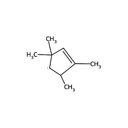 CC1=CC(C)(C)[CH]C1C